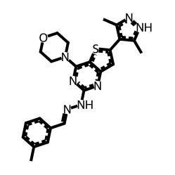 Cc1cccc(/C=N/Nc2nc(N3CCOCC3)c3sc(-c4c(C)n[nH]c4C)cc3n2)c1